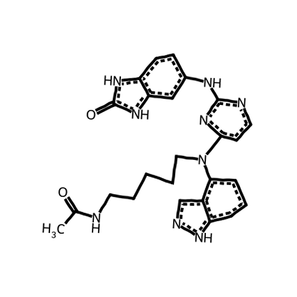 CC(=O)NCCCCCN(c1ccnc(Nc2ccc3[nH]c(=O)[nH]c3c2)n1)c1cccc2[nH]ncc12